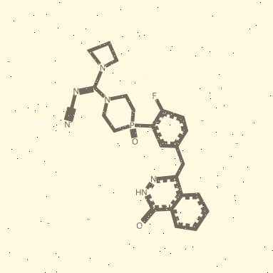 N#C/N=C(/N1CCC1)N1CCP(=O)(c2cc(Cc3n[nH]c(=O)c4ccccc34)ccc2F)CC1